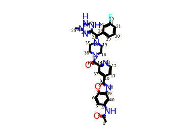 CC(=O)Nc1ccc2oc(-c3ccnc(C(=O)N4CCN(C(C5=NN(C)NN5)c5cccc(F)c5)CC4)c3)nc2c1